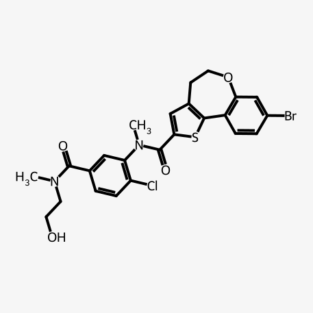 CN(CCO)C(=O)c1ccc(Cl)c(N(C)C(=O)c2cc3c(s2)-c2ccc(Br)cc2OCC3)c1